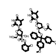 COc1ccc(C(OC[C@H]2O[C@@H](n3cc(C)c(=O)[nH]c3=O)C[C@@H]2OC(C)=O)(c2ccccc2)c2ccc(OC)cc2)cc1.Cc1cn([C@H]2C[C@@](O)([PH](=O)Oc3ccccc3Cl)[C@@H](CO)O2)c(=O)[nH]c1=O